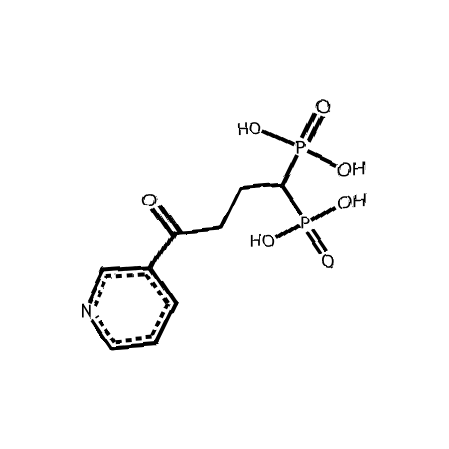 O=C(CCC(P(=O)(O)O)P(=O)(O)O)c1cccnc1